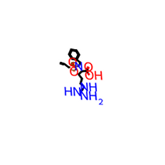 C=CCS(=O)(=O)N(Cc1ccccc1)C(CCCNC(=N)N)C(=O)O